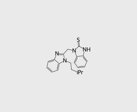 CC(C)CCn1c(Cn2c(=S)[nH]c3ccccc32)nc2ccccc21